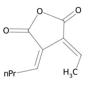 CC=C1C(=O)OC(=O)C1=CCCC